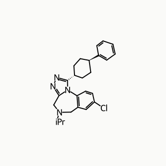 CC(C)N1Cc2cc(Cl)ccc2-n2c(nnc2[C@H]2CC[C@H](c3ccccc3)CC2)C1